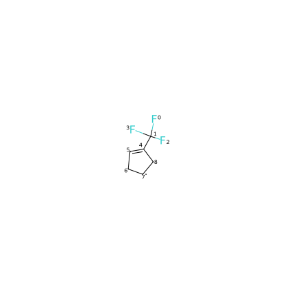 FC(F)(F)C1=CC[CH]C1